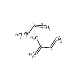 C=CC#N.C=CC(=C)C.Cl